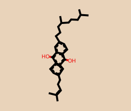 CC(C)=CCCc1ccc2c(O)c3cc(CCCC(C)CCCC(C)C)ccc3c(O)c2c1